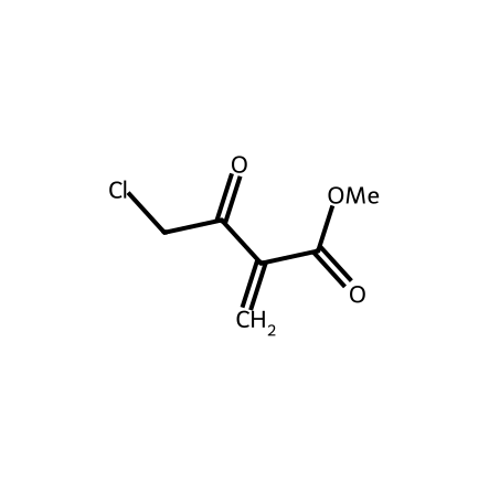 C=C(C(=O)CCl)C(=O)OC